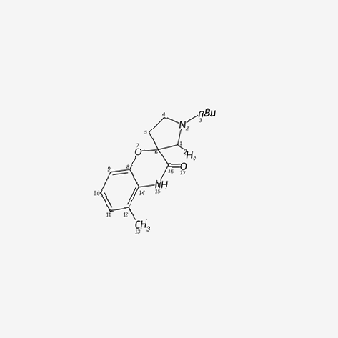 [2H]C1N(CCCC)CCC12Oc1cccc(C)c1NC2=O